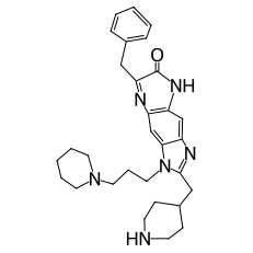 O=c1[nH]c2cc3nc(CC4CCNCC4)n(CCCN4CCCCC4)c3cc2nc1Cc1ccccc1